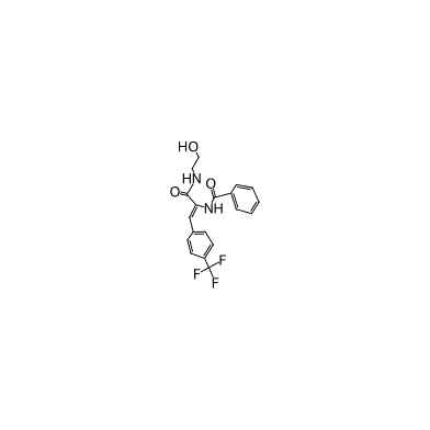 O=C(NCCO)C(=Cc1ccc(C(F)(F)F)cc1)NC(=O)c1ccccc1